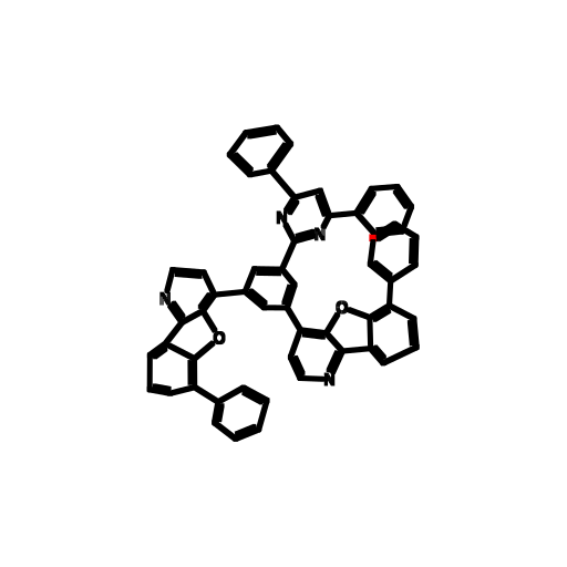 c1ccc(-c2cc(-c3ccccc3)nc(-c3cc(-c4ccnc5c4oc4c(-c6ccccc6)cccc45)cc(-c4ccnc5c4oc4c(-c6ccccc6)cccc45)c3)n2)cc1